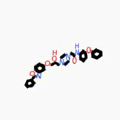 O=C(CN1CCN(C[C@@H](O)COc2ccc3oc(-c4ccccc4)nc3c2)CC1)Nc1cccc(Oc2ccccc2)c1